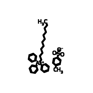 CCCCCCCCCCCC[As+](c1ccccc1)(c1ccccc1)c1ccccc1.Cc1ccc(S(=O)(=O)[O-])cc1